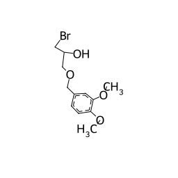 COc1ccc(COCC(O)CBr)cc1OC